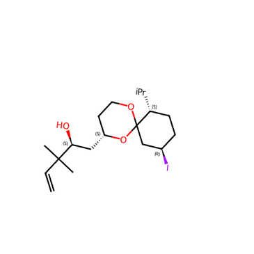 C=CC(C)(C)[C@@H](O)C[C@@H]1CCOC2(C[C@H](I)CC[C@H]2C(C)C)O1